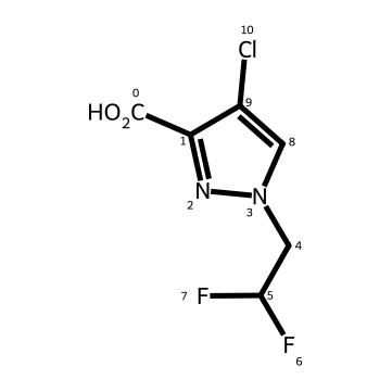 O=C(O)c1nn(CC(F)F)cc1Cl